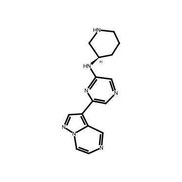 c1cn2ncc(-c3cncc(N[C@@H]4CCCNC4)n3)c2cn1